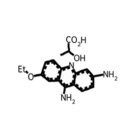 CC(O)C(=O)O.CCOc1ccc2nc3cc(N)ccc3c(N)c2c1